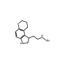 CCCCNCCC1CNc2ccc3c(c21)CCCO3